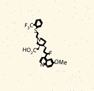 COc1ccc2nccc(C(F)CC[C@@H]3CCN(CCSc4ccccc4C(F)(F)F)C[C@@H]3CC(=O)O)c2c1